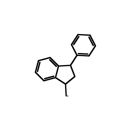 [CH2]C1CC(c2ccccc2)c2ccccc21